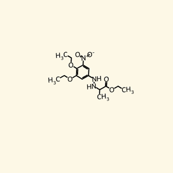 CCOC(=O)C(C)NNc1cc(OCC)c(OCC)c([N+](=O)[O-])c1